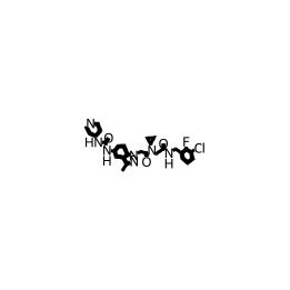 Cc1nn(CC(=O)N(CC(=O)NCc2cccc(Cl)c2F)C2CC2)c2ccc(NC(=O)Nc3ccncc3)cc12